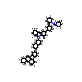 c1ccc(-n2c3ccccc3c3cc(-c4ccc5c(c4)c4ccccc4n5-c4ccc5cc(-c6ccc7c(c6)-c6cc8ccccc8c8cccc-7c68)ccc5c4)ccc32)cc1